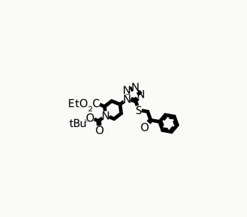 CCOC(=O)C1CC(n2nnnc2SCC(=O)c2ccccc2)CCN1C(=O)OC(C)(C)C